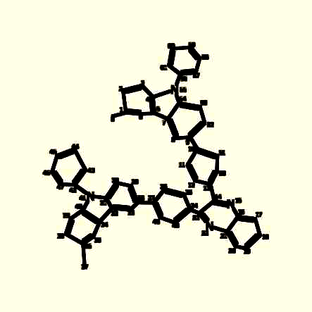 Cc1ccc2c(c1)c1cc(-c3ccc(-c4nc5ccccc5nc4-c4ccc(-c5ccc6c(c5)c5cc(C)ccc5n6-c5ccccc5)cc4)cc3)ccc1n2-c1ccccc1